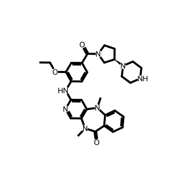 CCOc1cc(C(=O)N2CC[C@@H](N3CCNCC3)C2)ccc1Nc1cc2c(cn1)N(C)C(=O)c1ccccc1N2C